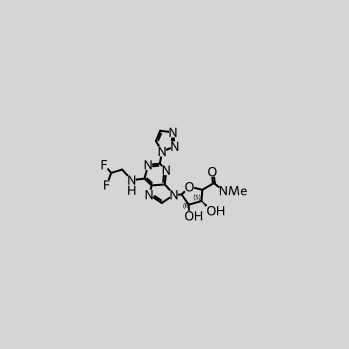 CNC(=O)C1OC(n2cnc3c(NCC(F)F)nc(-n4ccnn4)nc32)[C@H](O)[C@@H]1O